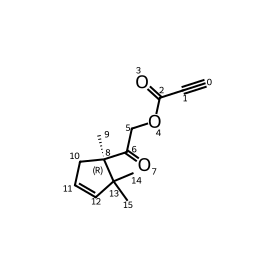 C#CC(=O)OCC(=O)[C@]1(C)CC=CC1(C)C